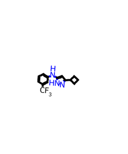 FC(F)(F)c1cccc(Nc2cc(C3CCC3)n[nH]2)c1